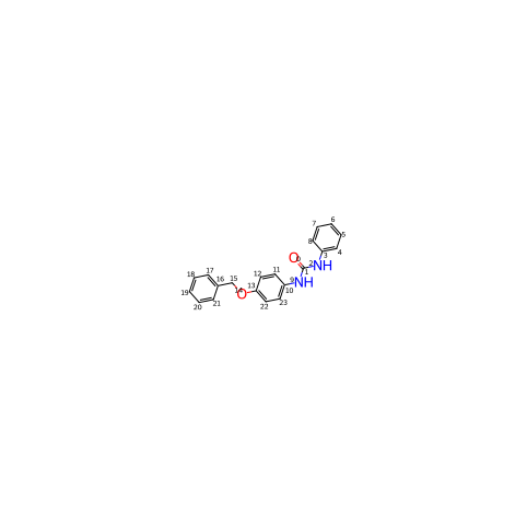 O=C(Nc1ccccc1)Nc1ccc(OCc2ccccc2)cc1